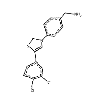 NCc1ccc(N2C=C(c3ccc(Cl)c(Cl)c3)SC2)cc1